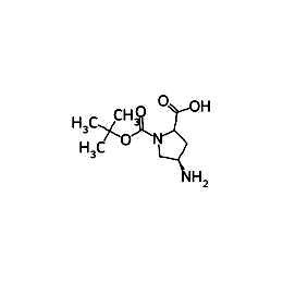 CC(C)(C)OC(=O)N1C[C@H](N)CC1C(=O)O